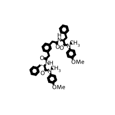 COc1ccc(N(C)C(=O)C(Cc2ccccc2)NC(=O)Cc2cccc(CC(=O)N[C@@H](Cc3ccccc3)C(=O)N(C)c3ccc(OC)cc3)c2)cc1